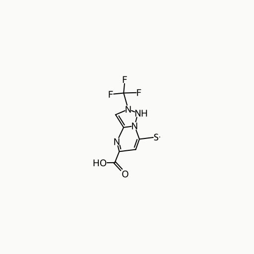 O=C(O)C1=NC2=CN(C(F)(F)F)NN2C([S])=C1